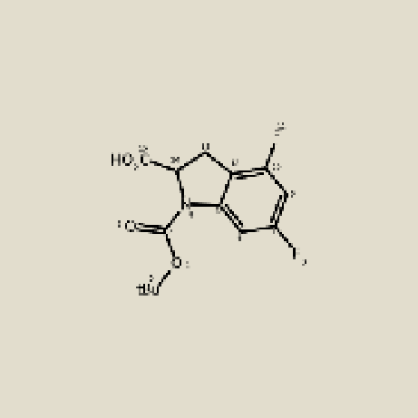 CC(C)(C)OC(=O)N1c2cc(F)cc(F)c2CC1C(=O)O